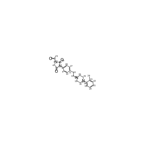 CC(=O)N1CC(=O)N(c2ccc(CCN3CCN(c4ccccc4C)CC3)cc2)C1=O